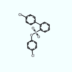 O=S(=O)(Oc1ccc(Cl)cc1)c1ccccc1-c1ccc(Cl)cc1